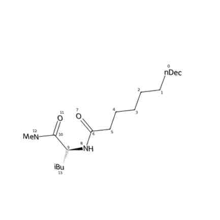 CCCCCCCCCCCCCCCC(=O)N[C@H](C(=O)NC)[C@@H](C)CC